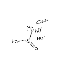 O=[Si](O)O.[Ca+2].[OH-].[OH-]